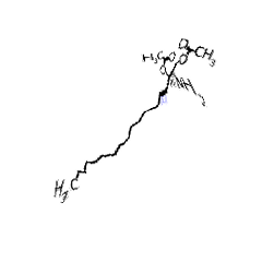 CCCCCCCCCCCCC/C=C/[C@@H](OC(C)=O)[C@@H](N)COC(C)=O